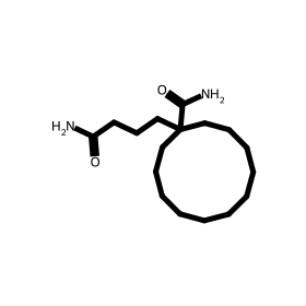 NC(=O)CCCC1(C(N)=O)CCCCCCCCCCC1